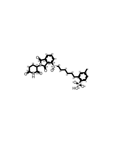 Cc1ccc(S(=O)(=O)O)c(CCCCCC[S+]([O-])c2cccc3c2C(=O)N(C2CCC(=O)NC2=O)C3=O)c1